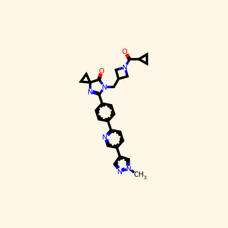 Cn1cc(-c2ccc(-c3ccc(C4=NC5(CC5)C(=O)N4CC4CN(C(=O)C5CC5)C4)cc3)nc2)cn1